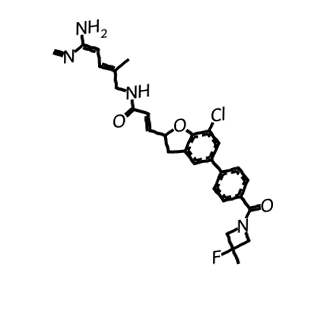 C=N/C(N)=C\C=C(/C)CNC(=O)/C=C/C1Cc2cc(-c3ccc(C(=O)N4CC(C)(F)C4)cc3)cc(Cl)c2O1